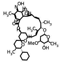 CO[C@H]1C[C@H](O[C@@H]2/C(C)=C/C[C@@H]3C[C@@H](CC4(CC[C@H](C)[C@@H](C5CCCCC5)O4)O3)OC(=O)[C@@H]3C=C(C)/C(=N/O)[C@H]4OC/C(=C\C=C\[C@@H]2C)[C@]43O)O[C@@H](C)[C@@H]1O